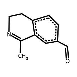 CC1=NCCc2ccc(C=O)cc21